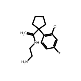 C=C(NCCN)C1(c2ccc(F)cc2Cl)CCCC1